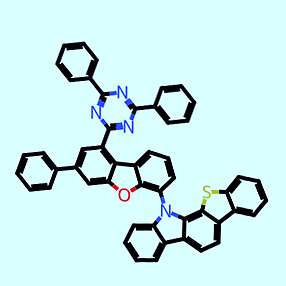 c1ccc(-c2cc(-c3nc(-c4ccccc4)nc(-c4ccccc4)n3)c3c(c2)oc2c(-n4c5ccccc5c5ccc6c7ccccc7sc6c54)cccc23)cc1